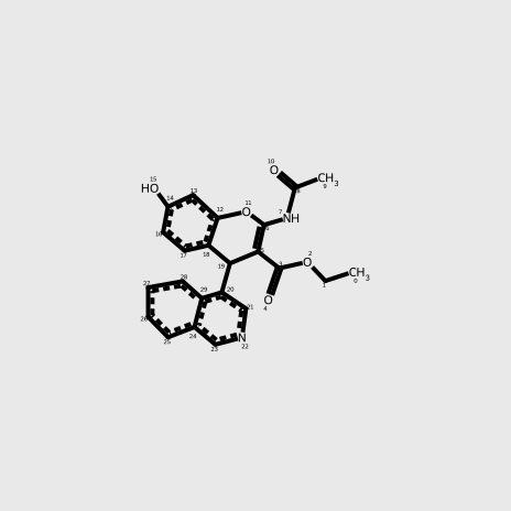 CCOC(=O)C1=C(NC(C)=O)Oc2cc(O)ccc2C1c1cncc2ccccc12